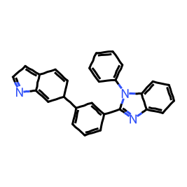 C1=CC(c2cccc(-c3nc4ccccc4n3-c3ccccc3)c2)C=C2N=CC=C12